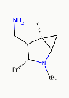 CC(C)[C@@H]1C(CN)[C@@]2(C)CC2N1C(C)(C)C